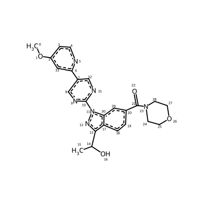 COc1ccnc(-c2cnc(-n3nc(C(C)O)c4ccc(C(=O)N5CCOCC5)cc43)nc2)c1